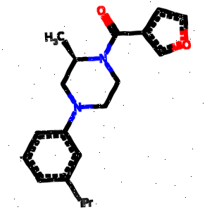 CC(C)c1c[c]cc(N2CCN(C(=O)c3ccoc3)[C@H](C)C2)c1